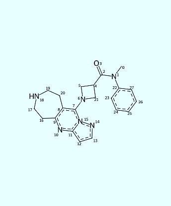 CN(C(=O)C1CN(c2c3c(nc4ccnn24)CCNCC3)C1)c1ccccc1